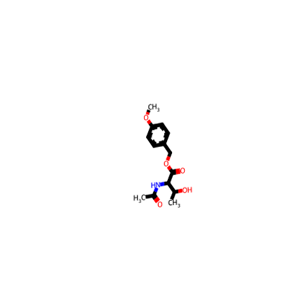 COc1ccc(COC(=O)C(NC(C)=O)C(C)O)cc1